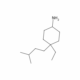 CCC1(CCC(C)C)CCC(N)CC1